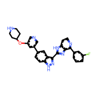 Fc1cccc(-c2nccc3[nH]c(-c4n[nH]c5ccc(-c6cncc(OC7CCNCC7)c6)cc45)nc23)c1